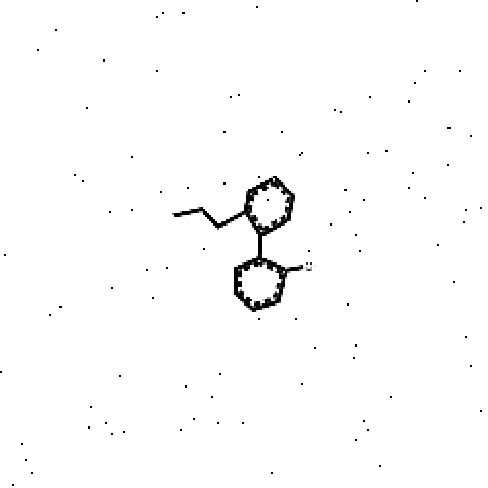 CCCc1ccccc1-c1ccccc1[O]